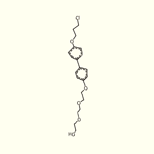 OCCOCCOCCOc1ccc(-c2ccc(OCCCCl)cc2)cc1